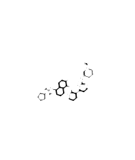 Cc1ccc2c(NS(=O)(=O)C3CCCC3)cccc2c1Oc1ncccc1-c1ccnc(N[C@H]2CCCN(C(=O)O)C2)n1